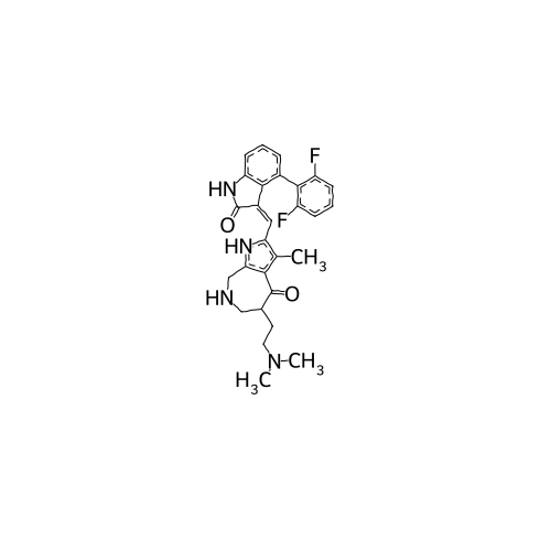 Cc1c(C=C2C(=O)Nc3cccc(-c4c(F)cccc4F)c32)[nH]c2c1C(=O)C(CCN(C)C)CNC2